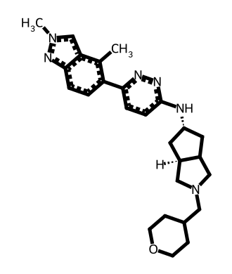 Cc1c(-c2ccc(N[C@@H]3CC4CN(CC5CCOCC5)C[C@H]4C3)nn2)ccc2nn(C)cc12